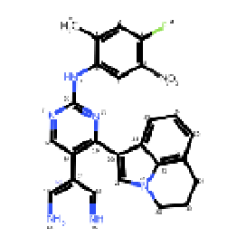 Cc1cc(F)c([N+](=O)[O-])cc1Nc1ncc(/C(C=N)=C/N)c(-c2cn3c4c(cccc24)CCC3)n1